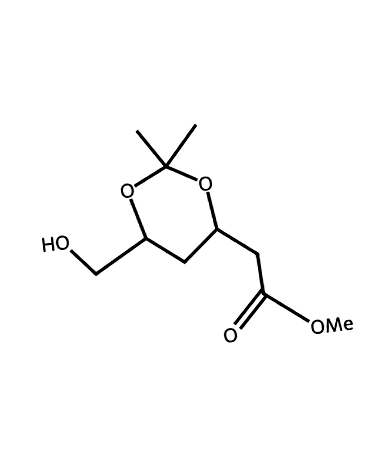 COC(=O)CC1CC(CO)OC(C)(C)O1